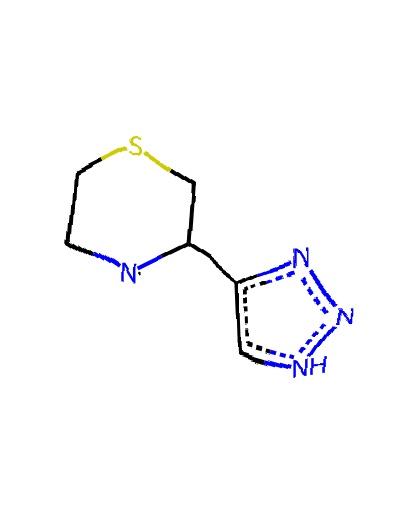 c1[nH]nnc1C1CSCC[N]1